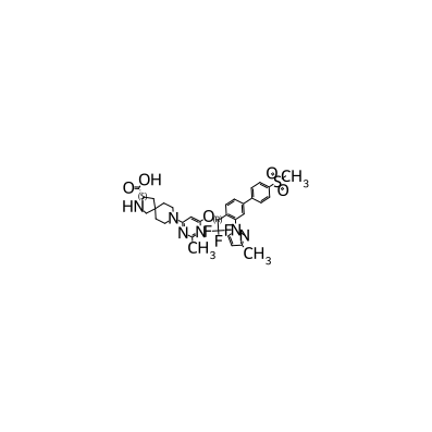 Cc1ccn(-c2cc(-c3ccc(S(C)(=O)=O)cc3)ccc2[C@@H](Oc2cc(N3CCC4(CC3)CN[C@H](C(=O)O)C4)nc(C)n2)C(F)(F)F)n1